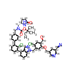 CC(C)(C)OC(=O)N(Cc1ccc(-c2cccc(-c3cccc4c3cnn4Cc3cc(OCc4cncc(C#N)c4)c(C=O)cc3Cl)c2Cl)cc1)C[C@@H]1CCC(=O)N1